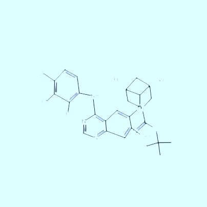 CC(C)(C)OC(=O)N1C[C@H]2C[C@@H](C1)C2Oc1cc2c(Nc3ccc(Cl)c(Cl)c3F)ncnc2cc1O